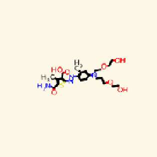 Cc1cc(N(CCCOCCO)CCOCCO)ccc1/N=N/c1sc(C(N)=O)c(C)c1C(=O)O